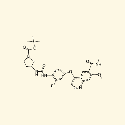 CNC(=O)c1cc2c(Oc3ccc(NC(=O)NC4CCN(C(=O)OC(C)(C)C)C4)c(Cl)c3)ccnc2cc1OC